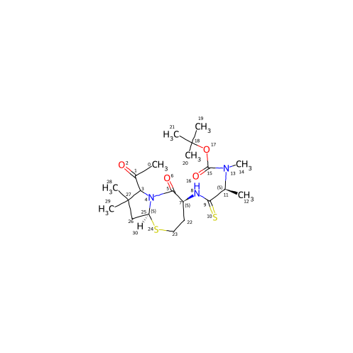 CC(=O)C1N2C(=O)[C@@H](NC(=S)[C@H](C)N(C)C(=O)OC(C)(C)C)CCS[C@H]2CC1(C)C